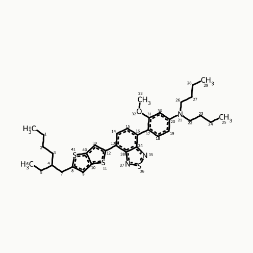 CCCCC(CC)Cc1cc2sc(-c3ccc(-c4ccc(N(CCCC)CCCC)cc4OC)c4nsnc34)cc2s1